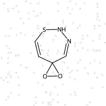 C1=CC2(C=NNS1)OO2